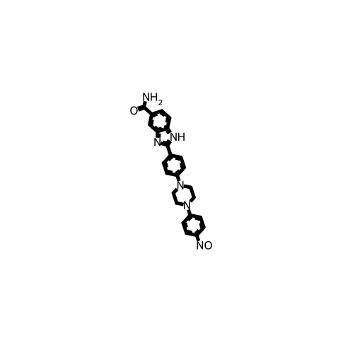 NC(=O)c1ccc2[nH]c(-c3ccc(N4CCN(c5ccc(N=O)cc5)CC4)cc3)nc2c1